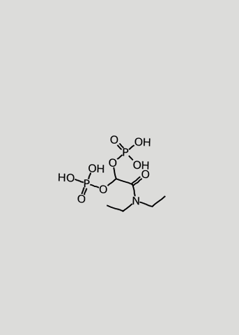 CCN(CC)C(=O)C(OP(=O)(O)O)OP(=O)(O)O